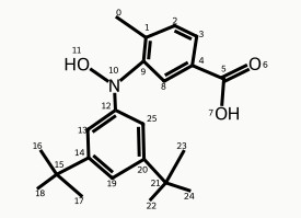 Cc1ccc(C(=O)O)cc1N(O)c1cc(C(C)(C)C)cc(C(C)(C)C)c1